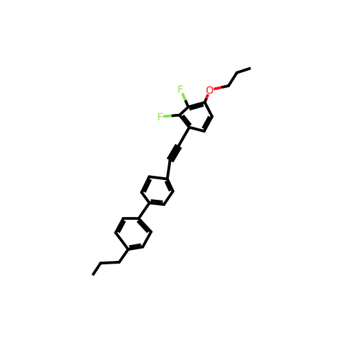 CCCOc1ccc(C#Cc2ccc(-c3ccc(CCC)cc3)cc2)c(F)c1F